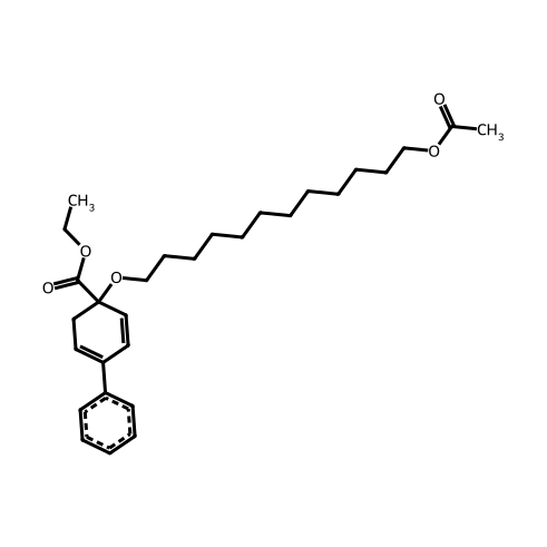 CCOC(=O)C1(OCCCCCCCCCCCCOC(C)=O)C=CC(c2ccccc2)=CC1